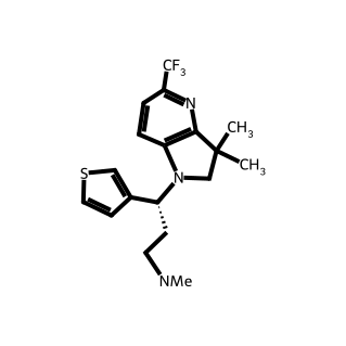 CNCC[C@H](c1ccsc1)N1CC(C)(C)c2nc(C(F)(F)F)ccc21